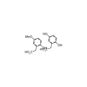 COc1ccc(O)c(CC(=O)O)c1.O=C(O)Cc1cc(O)ccc1O